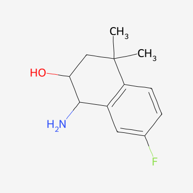 CC1(C)CC(O)C(N)c2cc(F)ccc21